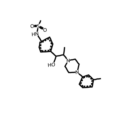 Cc1cccc(N2CCN(C(C)C(O)c3ccc(NS(C)(=O)=O)cc3)CC2)c1